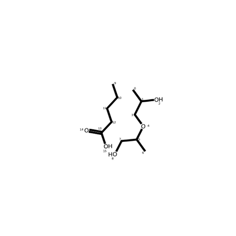 CC(O)COC(C)CO.CCCCC(=O)O